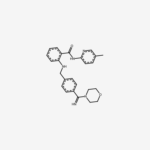 Cc1ccc(NC(=O)c2ccccc2NCc2ccc(C(=N)N3CCOCC3)cc2)nc1